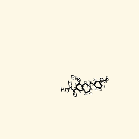 CCOc1cc(C(=O)NO)cc2c1CN(Cc1cccc(OCF)c1)CCC2